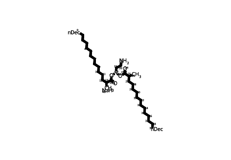 CCCCCCCCCCCCCCCCCCCCCCC(C)C(=O)ON(CCN)OC(=O)C(C)CCCCCCCCCCCCCCCCCCCCCC.[NaH]